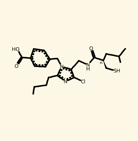 CCCCc1nc(Cl)c(CNC(=O)[C@H](CS)CC(C)C)n1Cc1ccc(C(=O)O)cc1